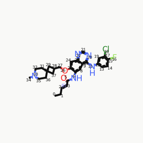 CC/C=C/C(=O)Nc1cc2c(Nc3ccc(F)c(Cl)c3)ncnc2cc1OCC1CC2(CCN(C)CC2)C1